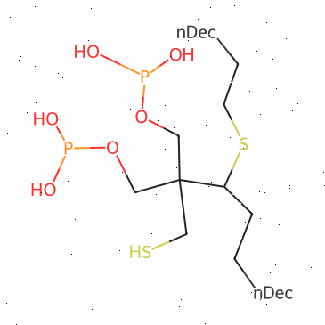 CCCCCCCCCCCCSC(CCCCCCCCCCCC)C(CS)(COP(O)O)COP(O)O